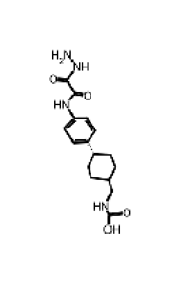 NNC(=O)C(=O)Nc1ccc([C@H]2CC[C@H](CNC(=O)O)CC2)cc1